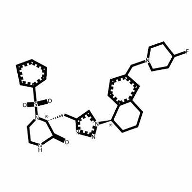 O=C1NCCN(S(=O)(=O)c2ccccc2)[C@@H]1Cc1cn([C@@H]2CCCc3cc(CN4CCC(F)CC4)ccc32)nn1